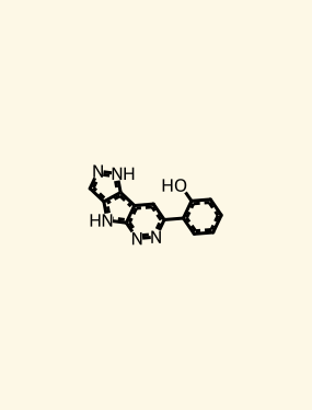 Oc1ccccc1-c1cc2c(nn1)[nH]c1cn[nH]c12